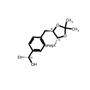 CCCCCCC[C@H]1OC(C)(C)O[C@@H]1Cc1ccc([C@H](O)CC)cc1